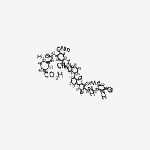 COc1cc(Cn2ncc3c(-c4cccc(-c5cc(F)c(CNC[C@@H]6CCC(=O)N6)c(OC)c5)c4Cl)cccc32)c(C#N)cc1CN(C)C[C@@H]1CCC[C@@H](C(=O)O)C1